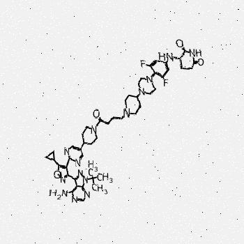 CC(C)(C)n1nc(-c2noc(C3CC3)c2-c2ncc(C3CCN(C(=O)CCCN4CCC(N5CCN(c6c(F)cc(NC7CCC(=O)NC7=O)cc6F)CC5)CC4)CC3)cn2)c2c(N)ncnc21